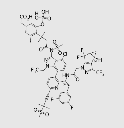 Cc1cc(CC(=O)O)cc(OP(=O)(O)O)c1C(C)(C)CC(=O)N(c1nn(CC(F)(F)F)c2c(-c3ccc(C#CC(C)(C)S(C)(=O)=O)nc3[C@H](Cc3cc(F)cc(F)c3)NC(=O)Cn3nc(C(F)(F)F)c4c3C(F)(F)C3C[C@H]43)ccc(Cl)c12)S(C)(=O)=O